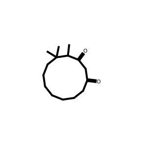 CC1C(=O)CC(=O)CCCCCCCC1(C)C